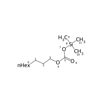 CCCCCCCCCOC(=O)O[Si](C)(C)C